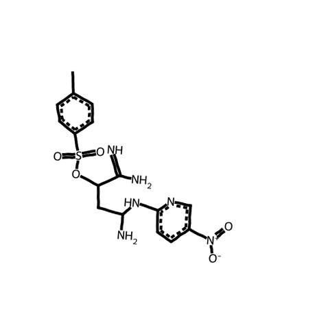 Cc1ccc(S(=O)(=O)OC(CC(N)Nc2ccc([N+](=O)[O-])cn2)C(=N)N)cc1